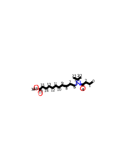 CCCC(=O)N(CCCCCCCCCCC(=O)OC)C(C)C